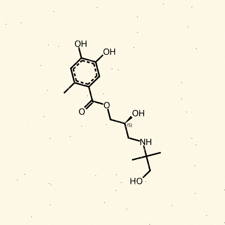 Cc1cc(O)c(O)cc1C(=O)OC[C@@H](O)CNC(C)(C)CO